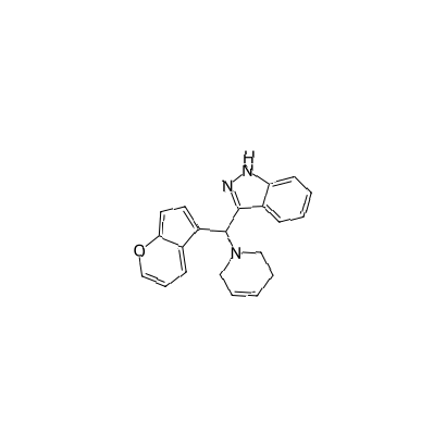 C1=CCN(C(c2ccc3occcc2-3)c2n[nH]c3ccccc23)CC1